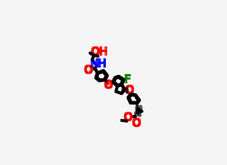 CCOC(=O)[C@H]1C[C@@H]1c1ccc(O[C@@H]2CCc3c(Oc4ccc(C(=O)NCC(C)(C)O)cc4)ccc(F)c32)cc1